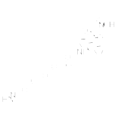 CN(C)CCN1C(=O)c2ccc(NCCOC(=O)CCOCCOCCOCCOCCN=N)c3cc4ccccc4c(c23)C1=O